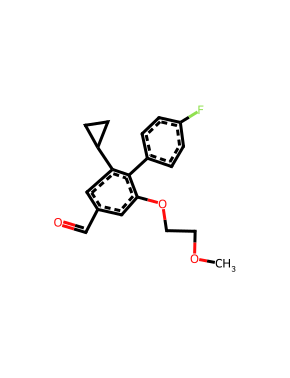 COCCOc1cc(C=O)cc(C2CC2)c1-c1ccc(F)cc1